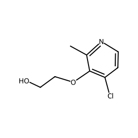 Cc1nccc(Cl)c1OCCO